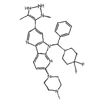 CC1=C(c2cnc3c4ccc(N5CCN(C)CC5)nc4n(C(c4ccccc4)C4CCC(F)(F)CC4)c3c2)N(C)NN1